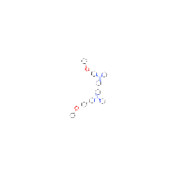 c1ccc(-c2ccc(-c3ccc(-c4ccc(N(c5ccccc5)c5ccc(-c6ccc(N(c7ccccc7)c7ccc(-c8ccc(-c9ccccc9)o8)cc7)cc6)cc5)cc4)cc3)o2)cc1